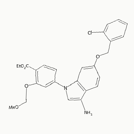 CCOC(=O)c1ccc(-n2cc(N)c3ccc(OCc4ccccc4Cl)cc32)cc1OCOC